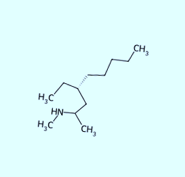 CCCCC[C@@H](CC)CC(C)NC